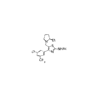 CC[C@@H]1CCCN1Cc1sc(NC(C)=O)nc1-c1cc(Cl)cc(C(F)(F)F)c1